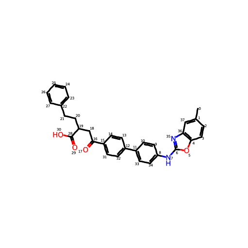 Cc1ccc2oc(Nc3ccc(-c4ccc(C(=O)CC(CCc5ccccc5)C(=O)O)cc4)cc3)nc2c1